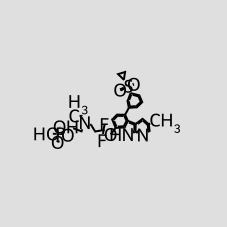 CCN(CCOP(=O)(O)O)CCC(F)(F)Oc1ccc(-c2cccc(S(=O)(=O)C3CC3)c2)c2c1[nH]c1ncc(C)cc12